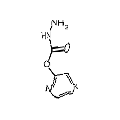 NNC(=O)Oc1cnccn1